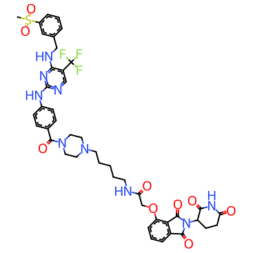 CS(=O)(=O)c1cccc(CNc2nc(Nc3ccc(C(=O)N4CCN(CCCCCNC(=O)COc5cccc6c5C(=O)N(C5CCC(=O)NC5=O)C6=O)CC4)cc3)ncc2C(F)(F)F)c1